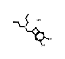 CCCN(CCC)CC1Cc2cc(O)c(O)cc21.Cl